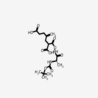 C=C(CCC(=O)O)CC(C(=O)O)C(=O)ONC(=O)[C@H](C)NC(=O)OC(C)(C)C